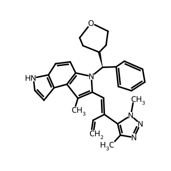 C=C/C(=C\c1c(C)c2c3cc[nH]c3ccc2n1[C@H](c1ccccc1)C1CCOCC1)c1c(C)nnn1C